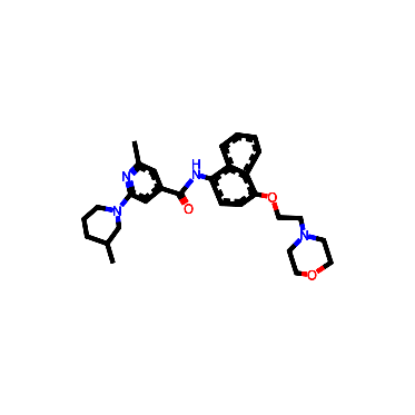 Cc1cc(C(=O)Nc2ccc(OCCN3CCOCC3)c3ccccc23)cc(N2CCCC(C)C2)n1